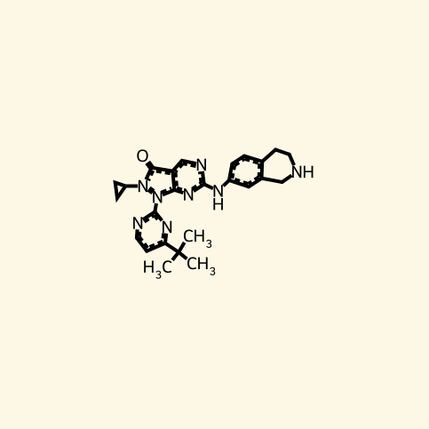 CC(C)(C)c1ccnc(-n2c3nc(Nc4ccc5c(c4)CNCC5)ncc3c(=O)n2C2CC2)n1